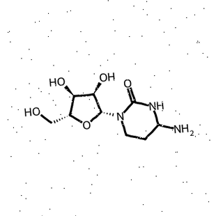 NC1CCN([C@@H]2O[C@H](CO)[C@@H](O)[C@H]2O)C(=O)N1